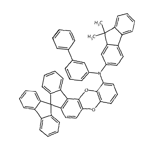 CC1(C)c2ccccc2-c2ccc(N(c3cccc(-c4ccccc4)c3)c3cccc4c3Oc3c(ccc5c3-c3ccccc3C53c5ccccc5-c5ccccc53)O4)cc21